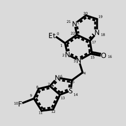 CCc1nn(Cc2nc3cc(F)ccc3s2)c(=O)c2nccnc12